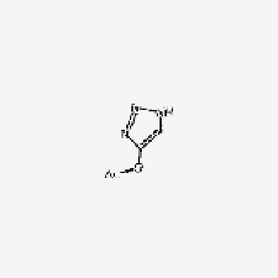 CC(=O)Oc1c[nH]nn1